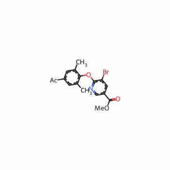 COC(=O)c1cnc(Oc2c(C)cc(C(C)=O)cc2C)c(Br)c1